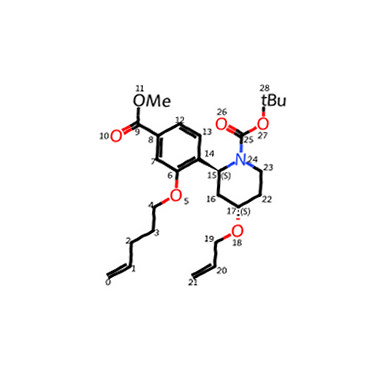 C=CCCCOc1cc(C(=O)OC)ccc1[C@@H]1C[C@@H](OCC=C)CCN1C(=O)OC(C)(C)C